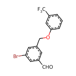 O=Cc1cc(Br)cc(COc2cccc(C(F)(F)F)c2)c1